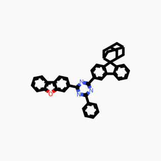 c1ccc(-c2nc(-c3ccc4c(c3)-c3ccccc3C43C4CC5CC(C4)CC3C5)nc(-c3ccc4c(c3)oc3ccccc34)n2)cc1